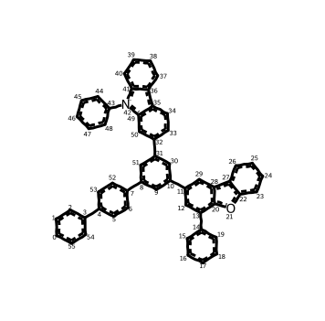 c1ccc(-c2ccc(-c3cc(-c4cc(-c5ccccc5)c5oc6ccccc6c5c4)cc(-c4ccc5c6ccccc6n(-c6ccccc6)c5c4)c3)cc2)cc1